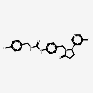 O=C(NCc1ccc(Cl)cc1)Nc1ccc(CN2C(=O)CC[C@@H]2c2cncc(F)c2)cc1